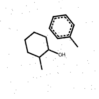 CC1CCCCC1O.Cc1ccccc1